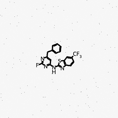 Fc1nc(Cc2ccccc2)cc(Nc2nc3ccc(C(F)(F)F)cc3s2)n1